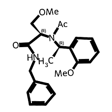 COC[C@H](C(=O)NCc1ccccc1)N(C(C)=O)[C@H](C)c1ccccc1OC